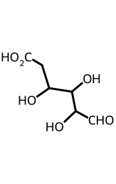 O=CC(O)C(O)C(O)CC(=O)O